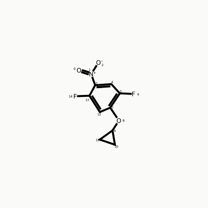 O=[N+]([O-])c1cc(F)c(OC2CC2)cc1F